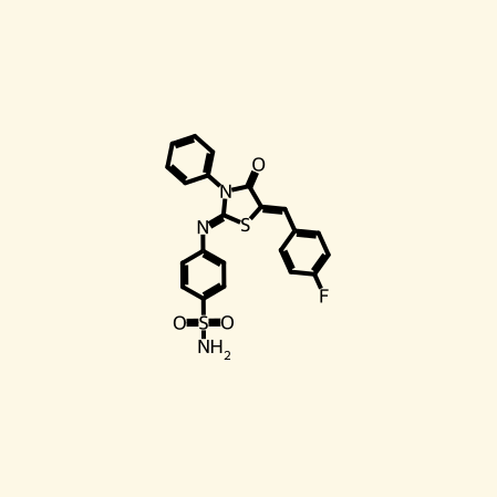 NS(=O)(=O)c1ccc(/N=C2\SC(=Cc3ccc(F)cc3)C(=O)N2c2ccccc2)cc1